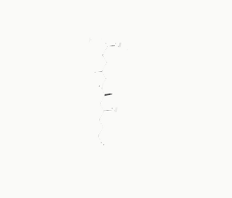 NCCCC(N)CC(=O)NCC(O)CC[C@H](N)C(=O)O